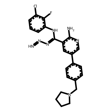 N=N/N=C(\Nc1cccc(Cl)c1F)c1cc(-c2ccc(CN3CCCC3)cc2)cnc1N